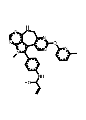 C=CC(O)Nc1ccc(-c2c3c4c(ncnc4n2C)NCc2nc(Oc4cccc(C)n4)ncc2-3)cc1